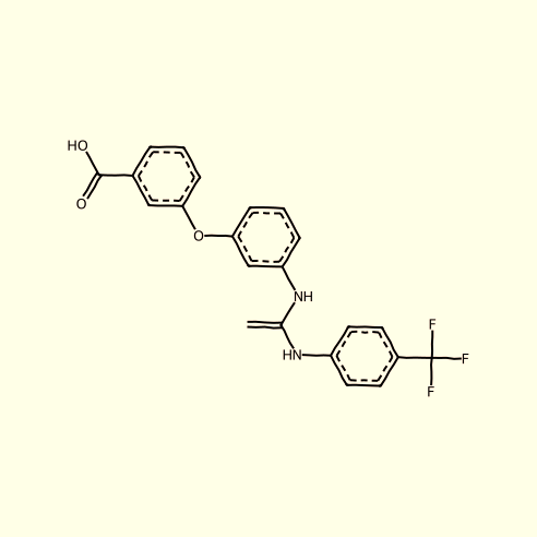 C=C(Nc1ccc(C(F)(F)F)cc1)Nc1cccc(Oc2cccc(C(=O)O)c2)c1